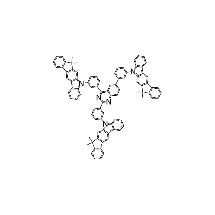 CC1(C)c2ccccc2-c2cc3c4ccccc4n(-c4cccc(-c5ccc6nc(-c7cccc(-n8c9ccccc9c9cc%10c(cc98)C(C)(C)c8ccccc8-%10)c7)nc(-c7cccc(-n8c9ccccc9c9cc%10c(cc98)C(C)(C)c8ccccc8-%10)c7)c6c5)c4)c3cc21